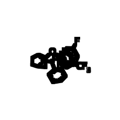 O=C(c1ccccc1-c1ncc(F)cn1)N1C2CCC1C(Oc1ncc(C(F)(F)F)cn1)C2